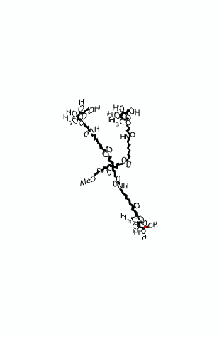 COCCOCCC(=O)CC(CCCOC(=O)CCCCCCCNC(=O)CCCOC1OC(CO)C(O)C(O)C1C)(CCCOC(=O)CCCCCCCNC(=O)CCCOC1OC(CO)C(O)C(O)C1C)CCCOC(=O)NCCCCCCCC(=O)CCCOC1OC(CO)C(O)C(O)C1C